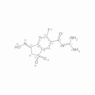 NC(N)=NC(=O)c1cc2c(cc1F)C(=NO)CS2(=O)=O